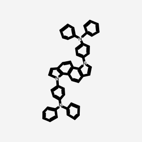 c1ccc(N(c2ccccc2)c2ccc(-n3ccc4ccc5c(ccc6ccn(-c7ccc(N(c8ccccc8)c8ccccc8)cc7)c65)c43)cc2)cc1